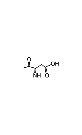 CC(=O)C(=N)CC(=O)O